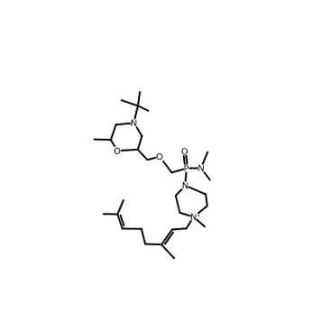 CC(C)=CCC/C(C)=C/C[N+]1(C)CCN(P(=O)(COCC2CN(C(C)(C)C)CC(C)O2)N(C)C)CC1